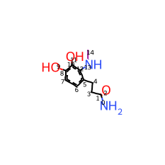 NC(=O)CCc1ccc(O)c(O)c1NI